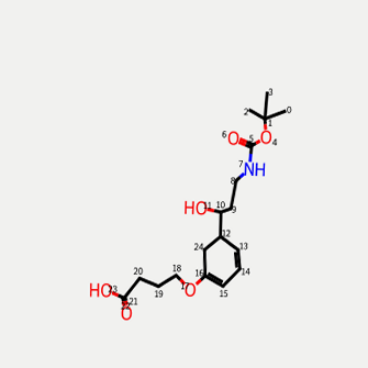 CC(C)(C)OC(=O)NCCC(O)C1C=CC=C(OCCCC(=O)O)C1